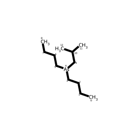 CCCC[As](CCCC)CC(C)C